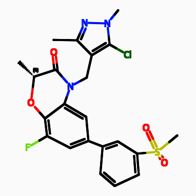 Cc1nn(C)c(Cl)c1CN1C(=O)[C@@H](C)Oc2c(F)cc(-c3cccc(S(C)(=O)=O)c3)cc21